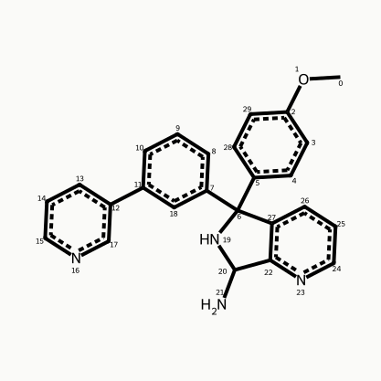 COc1ccc(C2(c3cccc(-c4cccnc4)c3)NC(N)c3ncccc32)cc1